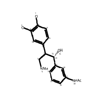 CNCC(c1ccc(Cl)c(Cl)c1)[C@H](O)c1cccc(NC(C)=O)c1